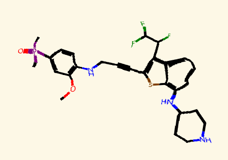 COc1cc(P(C)(C)=O)ccc1NCC#Cc1sc2c(NC3CCNCC3)cccc2c1C(F)C(F)F